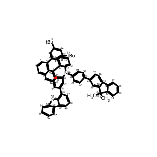 CC(C)(C)c1cc(-c2cccc3cccc(-c4ccccc4N(c4ccc(-c5ccc6c(c5)C(C)(C)c5ccccc5-6)cc4)c4cccc(-c5cccc6c5sc5ccccc56)c4)c23)cc(C(C)(C)C)c1